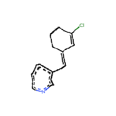 ClC1=C/C(=C/c2cccnc2)CCC1